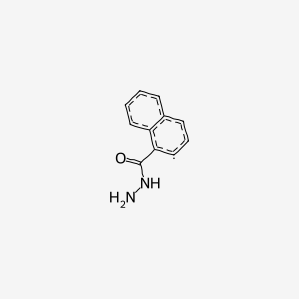 NNC(=O)c1[c]ccc2ccccc12